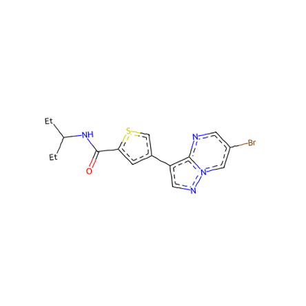 CCC(CC)NC(=O)c1cc(-c2cnn3cc(Br)cnc23)cs1